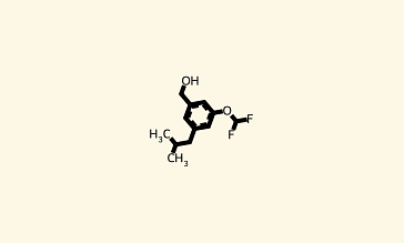 CC(C)Cc1cc(CO)cc(OC(F)F)c1